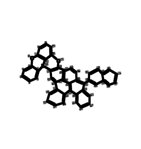 c1ccc2c(c1)Oc1cccc3c1B2c1cc(-c2ccccc2-c2c4ccccc4c(-c4ccc5ccccc5c4)c4ccccc24)ccc1O3